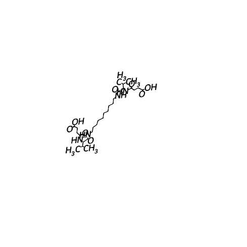 CC(C)[C@H](NC(=O)CCC(=O)O)C(=O)NCCCCCCCCCCNC(=O)[C@@H](NC(=O)CCC(=O)O)C(C)C